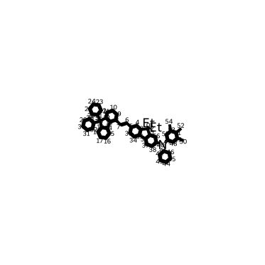 CCC1(CC)c2cc(/C=C/c3cccc4c3-c3ccccc3C4(c3ccccc3)c3ccccc3)ccc2-c2ccc(N(c3ccccc3)c3cc(C)c(C)c(C)c3)cc21